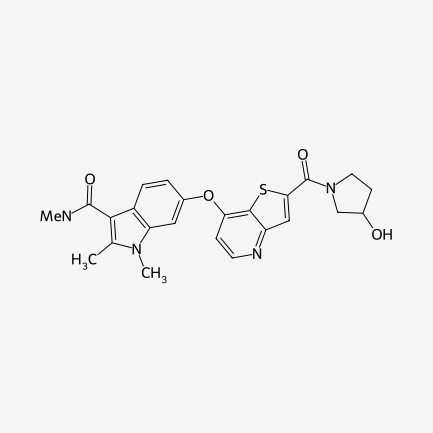 CNC(=O)c1c(C)n(C)c2cc(Oc3ccnc4cc(C(=O)N5CCC(O)C5)sc34)ccc12